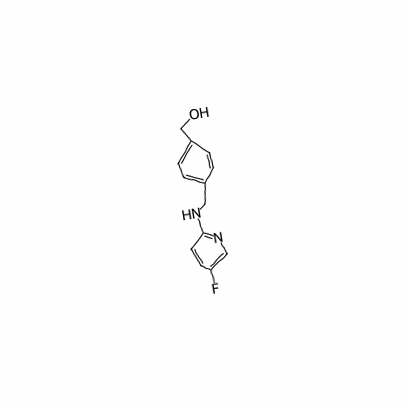 OCc1ccc(CNc2ccc(F)cn2)cc1